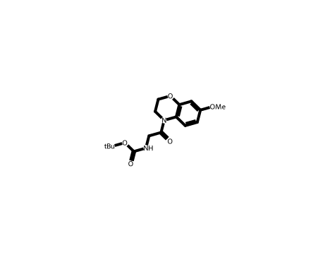 COc1ccc2c(c1)OCCN2C(=O)CNC(=O)OC(C)(C)C